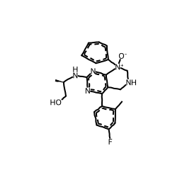 Cc1cc(F)ccc1-c1nc(N[C@H](C)CO)nc2c1CNC[N+]2([O-])c1ccccc1